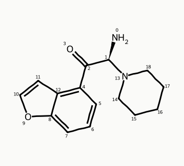 N[C@H](C(=O)c1cccc2occc12)N1CCCCC1